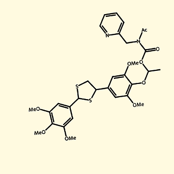 COc1cc(C2SCC(c3cc(OC)c(OC(C)OC(=O)N(Cc4ccccn4)C(C)=O)c(OC)c3)S2)cc(OC)c1OC